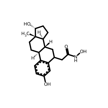 C[C@]12CC[C@@H]3c4ccc(O)cc4C(CC(=O)NO)C[C@H]3[C@@H]1CC[C@H]2O